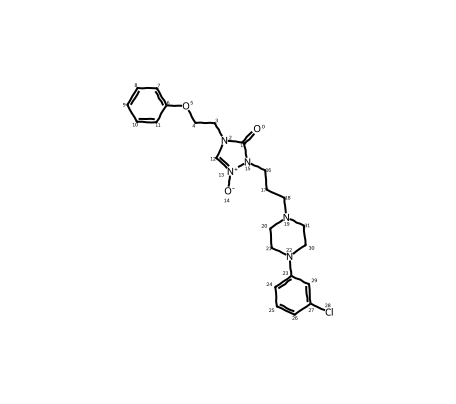 O=c1n(CCOc2ccccc2)c[n+]([O-])n1CCCN1CCN(c2cccc(Cl)c2)CC1